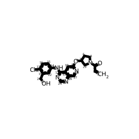 C=CC(=O)N1CCC(Oc2cc3c(Nc4ccc(Cl)c(CO)c4)ncnc3cn2)C1